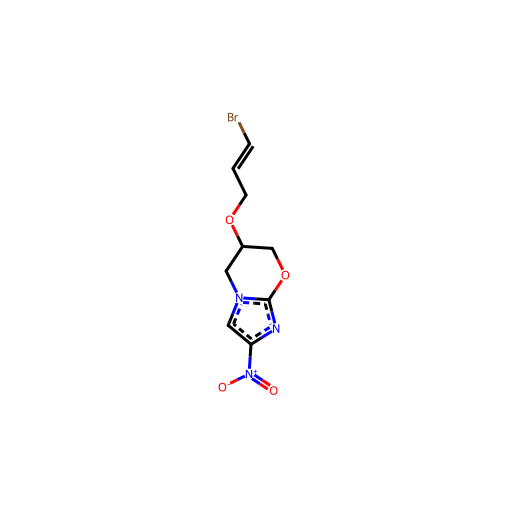 O=[N+]([O-])c1cn2c(n1)OCC(OCC=CBr)C2